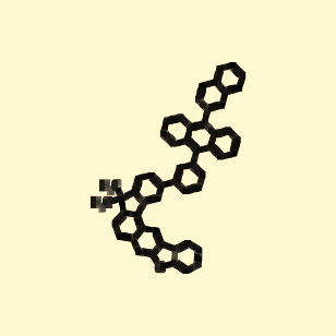 CC1(C)c2ccc(-c3cccc(-c4c5ccccc5c(-c5ccc6ccccc6c5)c5ccccc45)c3)cc2-c2c1ccc1cc3oc4ccccc4c3cc21